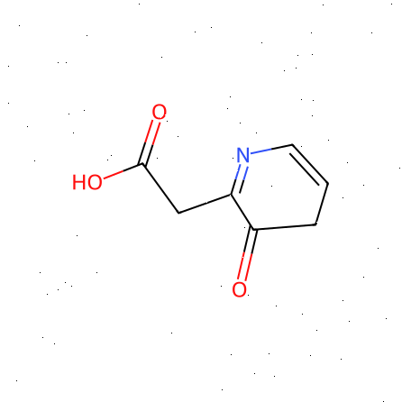 O=C(O)CC1=NC=CCC1=O